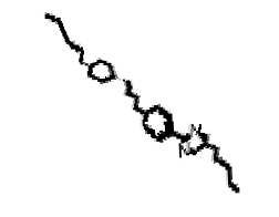 CCCCCc1cnc(-c2ccc(CCC=C[C@H]3CC[C@H](CCCCC)CC3)cc2)nc1